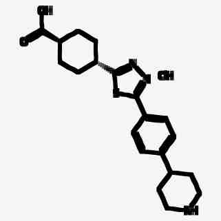 Cl.O=C(O)[C@H]1CC[C@H](c2nnc(-c3ccc(C4CCNCC4)cc3)s2)CC1